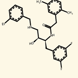 CCc1cccc(CNC[C@H](O)[C@H](Cc2cc(F)cc(F)c2)NC(=O)Cc2cc(C)ccc2C)c1